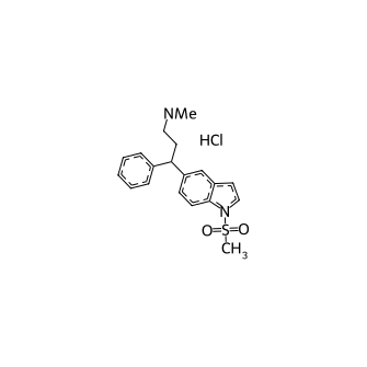 CNCCC(c1ccccc1)c1ccc2c(ccn2S(C)(=O)=O)c1.Cl